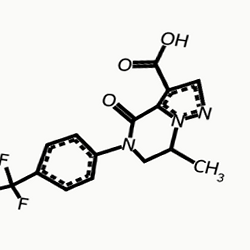 CC1CN(c2ccc(C(F)(F)F)cc2)C(=O)c2c(C(=O)O)cnn21